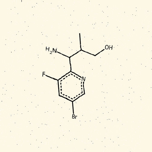 CC(CO)C(N)c1ncc(Br)cc1F